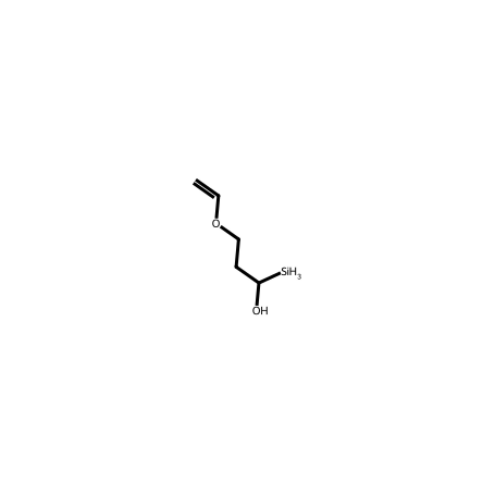 C=COCCC(O)[SiH3]